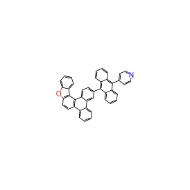 c1ccc2c(c1)oc1ccc3c4ccccc4c4cc(-c5c6ccccc6c(-c6ccncc6)c6ccccc56)ccc4c3c12